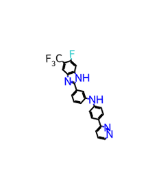 Fc1cc2[nH]c(-c3cccc(Nc4ccc(-c5cccnn5)cc4)c3)nc2cc1C(F)(F)F